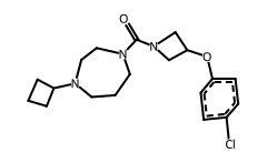 O=C(N1CCCN(C2CCC2)CC1)N1CC(Oc2ccc(Cl)cc2)C1